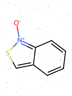 [O-][n+]1scc2ccccc21